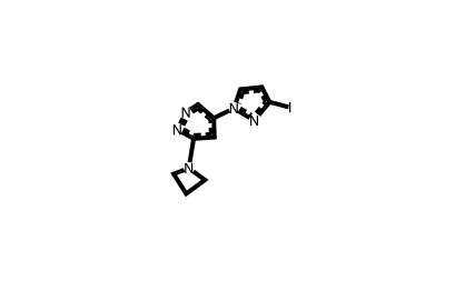 Ic1ccn(-c2cnnc(N3CCC3)c2)n1